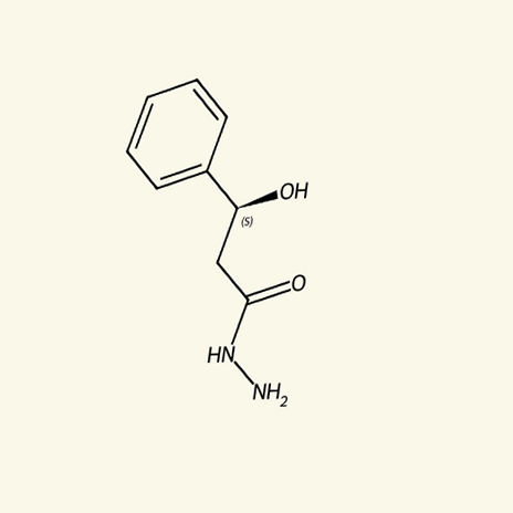 NNC(=O)C[C@H](O)c1ccccc1